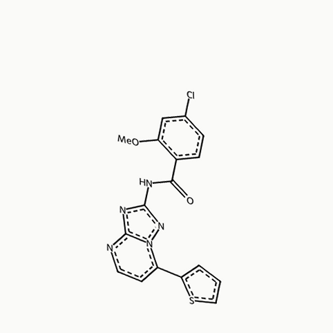 COc1cc(Cl)ccc1C(=O)Nc1nc2nccc(-c3cccs3)n2n1